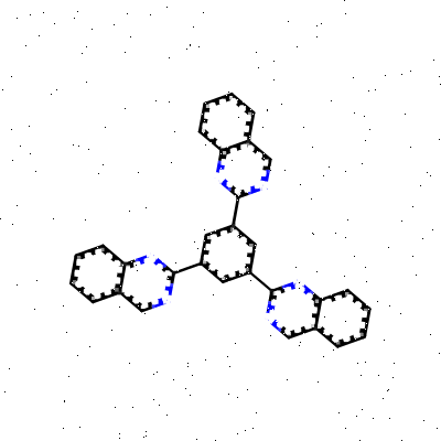 c1ccc2nc(-c3cc(-c4ncc5ccccc5n4)cc(-c4ncc5ccccc5n4)c3)ncc2c1